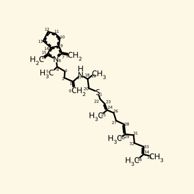 C=C(CCC(C)n1c(=C)c2ccccc2c1=C)NC(C)CSC/C=C(\C)CC/C=C(\C)CCC=C(C)C